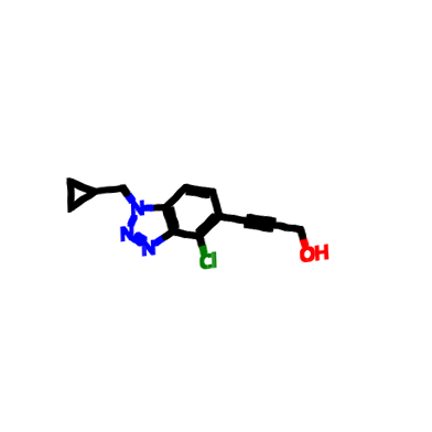 OCC#Cc1ccc2c(nnn2CC2CC2)c1Cl